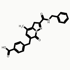 Cc1cc(Cc2ccc(C(=O)O)cc2)c(=O)n2c1CC(C(=O)NCc1ccccc1)=N2